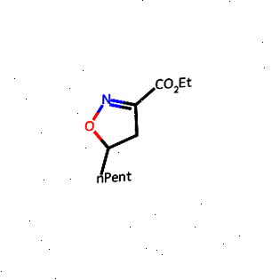 CCCCCC1CC(C(=O)OCC)=NO1